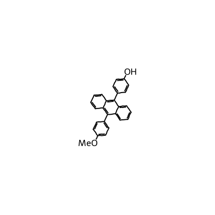 COc1ccc(-c2c3ccccc3c(-c3ccc(O)cc3)c3ccccc23)cc1